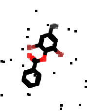 CCCc1cc(Br)c(OC(=O)c2ccccc2)c(Br)c1